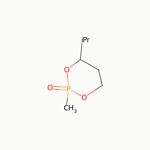 CC(C)C1CCOP(C)(=O)O1